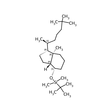 C[C@@H](CCCC(C)(C)C)[C@H]1CC[C@H]2[C@@H](O[Si](C)(C)C(C)(C)C)CCC[C@]12C